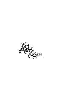 Cc1ccc(Cl)c(-c2cc(F)c(NC(=O)c3ccccc3OC=O)c(Cl)c2)c1